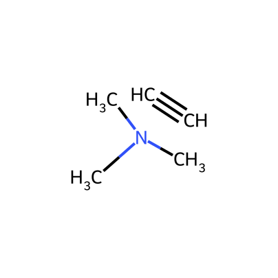 C#C.CN(C)C